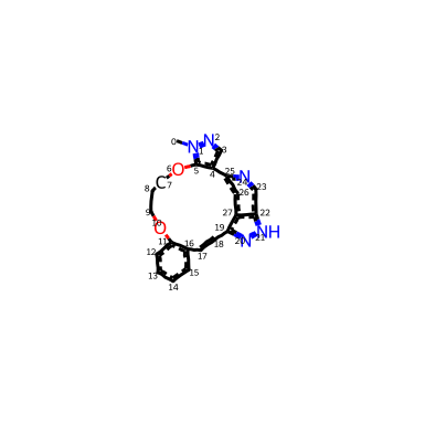 Cn1ncc2c1OCCCOc1ccccc1/C=C/c1n[nH]c3cnc-2cc13